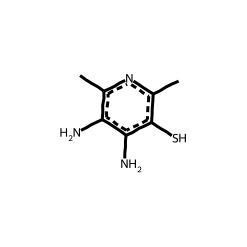 Cc1nc(C)c(S)c(N)c1N